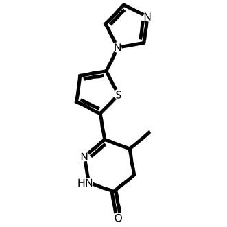 CC1CC(=O)NN=C1c1ccc(-n2ccnc2)s1